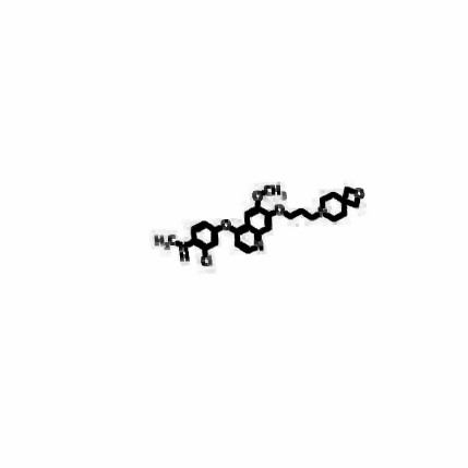 CNc1ccc(Oc2ccnc3cc(OCCCN4CCC5(CC4)COC5)c(OC)cc23)cc1Cl